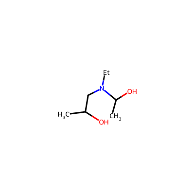 CCN(CC(C)O)C(C)O